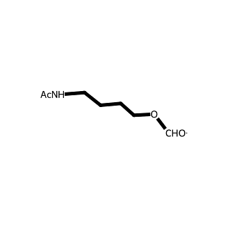 CC(=O)NCCCCO[C]=O